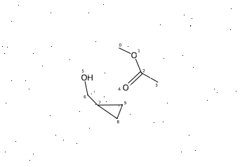 COC(C)=O.OCC1CC1